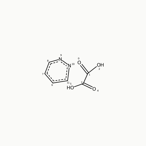 O=C(O)C(=O)O.c1ccnnc1